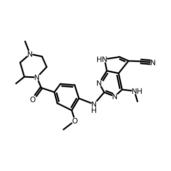 CNc1nc(Nc2ccc(C(=O)N3CCN(C)CC3C)cc2OC)nc2[nH]cc(C#N)c12